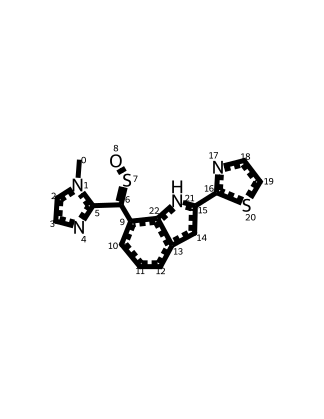 Cn1ccnc1C(=S=O)c1cccc2cc(-c3nccs3)[nH]c12